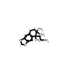 CC1(C)CCc2cc3c(cc2C1(C)CCN)OCO3